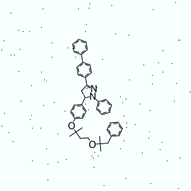 CC(C)(Cc1ccccc1)OCCC(C)(C)Oc1ccc(C2CC(c3ccc(-c4ccccc4)cc3)=NN2c2ccccc2)cc1